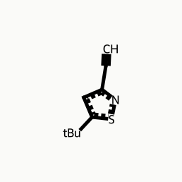 C#Cc1cc(C(C)(C)C)sn1